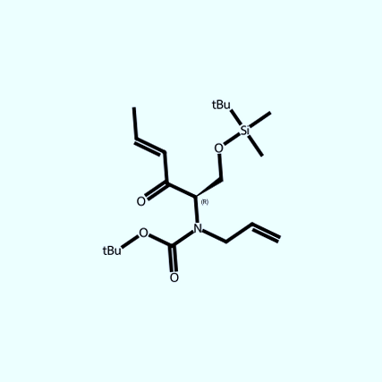 C=CCN(C(=O)OC(C)(C)C)[C@H](CO[Si](C)(C)C(C)(C)C)C(=O)C=CC